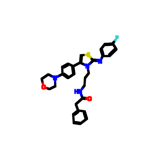 O=C(Cc1ccccc1)NCCCn1c(-c2ccc(N3CCOCC3)cc2)cs/c1=N\c1ccc(F)cc1